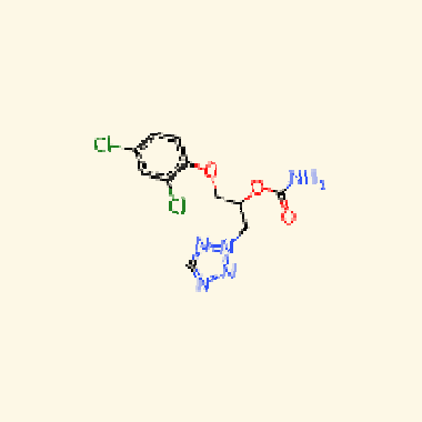 NC(=O)OC(COc1ccc(Cl)cc1Cl)Cn1ncnn1